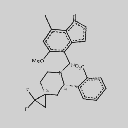 COc1cc(C)c2[nH]ccc2c1CN1CC[C@]2(C[C@H]1c1ccccc1C(=O)O)CC2(F)F